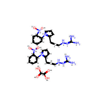 NC(N)=NNC=C=Cc1cccn1-c1ccccc1[N+](=O)[O-].NC(N)=NNC=C=Cc1cccn1-c1ccccc1[N+](=O)[O-].O=C(O)C(=O)O